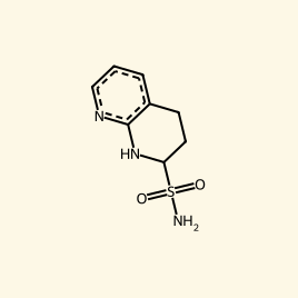 NS(=O)(=O)C1CCc2cccnc2N1